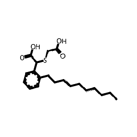 CCCCCCCCCCc1ccccc1C(SCC(=O)O)C(=O)O